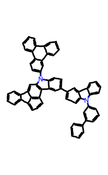 c1ccc(-c2cccc(-n3c4ccccc4c4cc(-c5ccc6c(c5)c5c7cccc8c7c(cc5n6-c5ccc6c7ccccc7c7ccccc7c6c5)-c5ccccc5-8)ccc43)c2)cc1